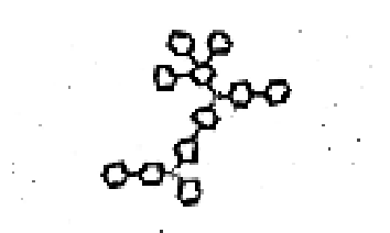 c1ccc(-c2ccc(N(c3ccccc3)c3ccc(-c4ccc(N(c5ccc(-c6ccccc6)cc5)c5cc(-c6ccccc6)c(-c6ccccc6)c(-c6ccccc6)c5)cc4)cc3)cc2)cc1